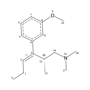 CC/C=C(/c1cccc(OC)c1)[C@@H](C)CN(C)C